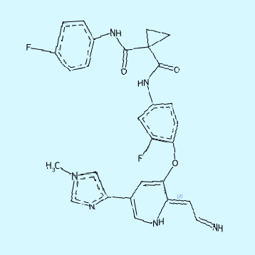 Cn1cnc(C2=CN/C(=C\C=N)C(Oc3ccc(NC(=O)C4(C(=O)Nc5ccc(F)cc5)CC4)cc3F)=C2)c1